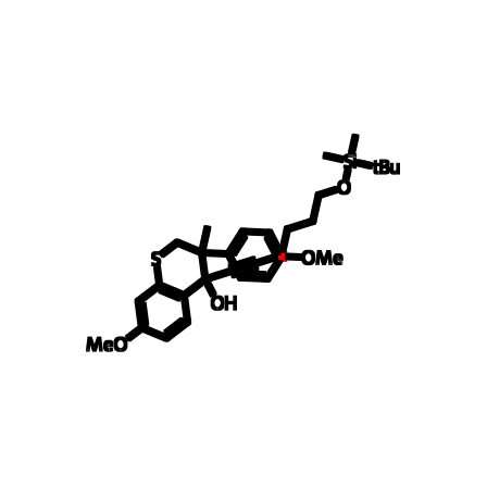 COc1ccc(C2(C)CSc3cc(OC)ccc3C2(O)C#CCCCCO[Si](C)(C)C(C)(C)C)cc1